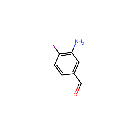 Nc1cc(C=O)ccc1I